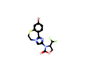 O=C1OCC(C(F)F)N1c1cn2c(n1)-c1ccc(Br)cc1SCC2